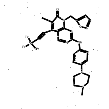 Cc1c(C#C[Si](C(C)C)(C(C)C)C(C)C)c2cnc(Nc3ccc(N4CCN(C)CC4)cc3)nc2n(Cc2ccno2)c1=O